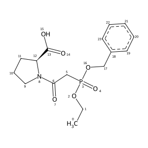 CCOP(=O)(CC(=O)N1CCC[C@H]1C(=O)O)OCc1ccccc1